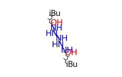 CCC(C)CC(C)CC(C)CC(O)CNCCNCCNCCNCCNCC(O)CC(C)CC(C)CC(C)CC